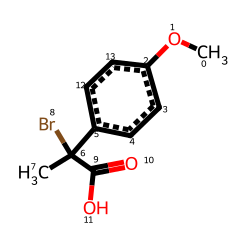 COc1ccc(C(C)(Br)C(=O)O)cc1